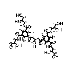 CC(=O)N(CC(O)CN(C(C)=O)c1c(I)c(C(=O)NCC(O)CO)c(C)c(C(=O)NCC(O)CO)c1I)c1c(C)c(C(=O)NCC(O)CO)c(I)c(C(=O)NCC(O)CO)c1I